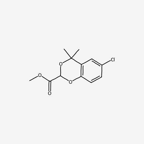 COC(=O)C1Oc2ccc(Cl)cc2C(C)(C)O1